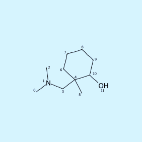 CN(C)CC1(C)CCCCC1O